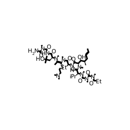 C/C=C/C[C@@H](C)[C@@H](O)[C@@H](C(=O)N[C@@H](CC)C(=O)N(C)/C(SCCN(C)C)=C(/C)N(C)[C@@H](CC(C)(C)O)C(=O)NC(=O)N(C)C(N)=O)N(C)C(=O)[C@H](C(C)C)N(C)C(=O)N(C)C(=O)N(C)C(=O)CC